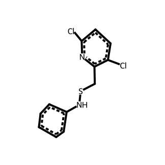 Clc1ccc(Cl)c(CSNc2ccccc2)n1